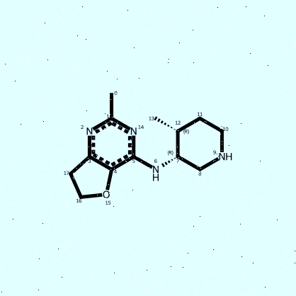 Cc1nc2c(c(N[C@H]3CNCC[C@H]3C)n1)OCC2